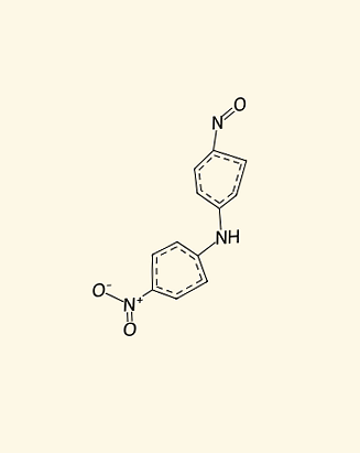 O=Nc1ccc(Nc2ccc([N+](=O)[O-])cc2)cc1